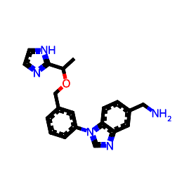 CC(OCc1cccc(-n2cnc3cc(CN)ccc32)c1)c1ncc[nH]1